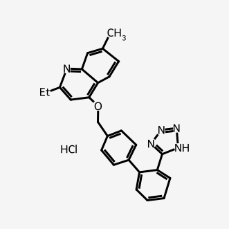 CCc1cc(OCc2ccc(-c3ccccc3-c3nnn[nH]3)cc2)c2ccc(C)cc2n1.Cl